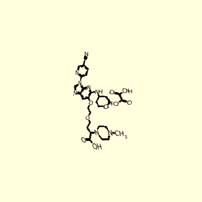 CN1CCN(C(CCOCCOc2cc3ncn(-c4ccc(C#N)cn4)c3nc2NC2CCOCC2)C(=O)O)CC1.O=C(O)C(=O)O